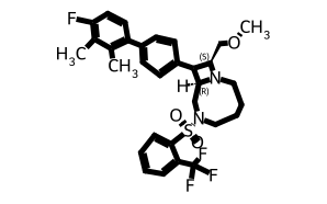 COC[C@@H]1C(c2ccc(-c3ccc(F)c(C)c3C)cc2)[C@@H]2CN(S(=O)(=O)c3ccccc3C(F)(F)F)CCCCN12